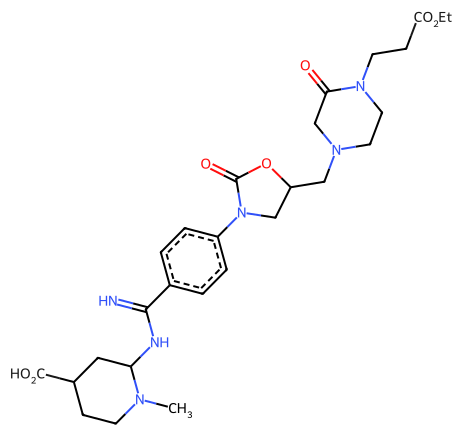 CCOC(=O)CCN1CCN(CC2CN(c3ccc(C(=N)NC4CC(C(=O)O)CCN4C)cc3)C(=O)O2)CC1=O